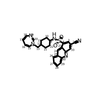 N#Cc1cc(S(=O)(=O)NC2CCC(CN3C=CC=CN=C3)CC2)c2cc3ccccc3nc2c1